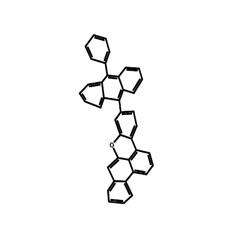 c1ccc(-c2c3ccccc3c(-c3ccc4c(c3)Oc3cc5ccccc5c5cccc-4c35)c3ccccc23)cc1